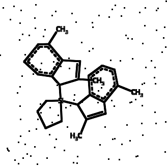 CC1=Cc2c(C)cccc2C1[Si]1(C2C(C)=Cc3c(C)cccc32)CCCC1